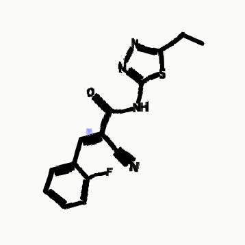 CCc1nnc(NC(=O)/C(C#N)=C/c2ccccc2F)s1